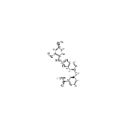 CNC(=O)c1cc(Oc2ccc3nc(Nc4ccc(OC)cc4OC)oc3c2)ccn1